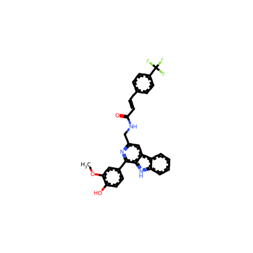 COc1cc(-c2nc(CNC(=O)/C=C/c3ccc(C(F)(F)F)cc3)cc3c2[nH]c2ccccc23)ccc1O